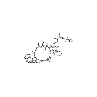 CCn1c(-c2cccnc2[C@H](C)OC)c2c3cc(ccc31)-c1nc(cs1)C[C@H](NC(=O)[C@H](C1CCCC1)N(C)C(=O)[C@H]1CCN(C(=O)C#CC(C)(C)N3CCC3)C1)C(=O)N1CCC[C@H](N1)C(=O)OCC(C)(C)C2